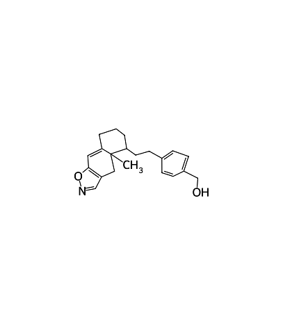 CC12Cc3cnoc3C=C1CCCC2CCc1ccc(CO)cc1